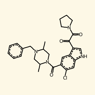 CC1CN(C(=O)c2cc3c(C(=O)C(=O)N4CCCC4)c[nH]c3cc2Cl)C(C)CN1Cc1ccccc1